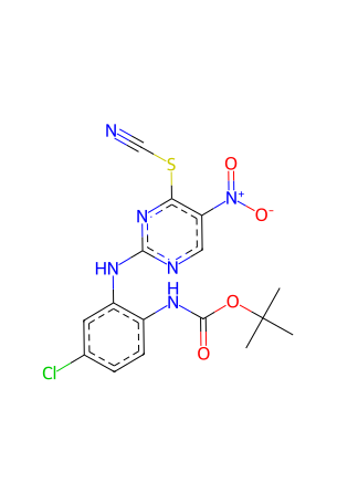 CC(C)(C)OC(=O)Nc1ccc(Cl)cc1Nc1ncc([N+](=O)[O-])c(SC#N)n1